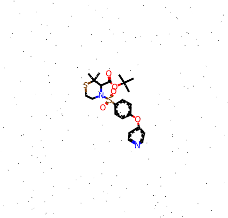 CC(C)(C)OC(=O)C1N(S(=O)(=O)c2ccc(Oc3ccncc3)cc2)CCSC1(C)C